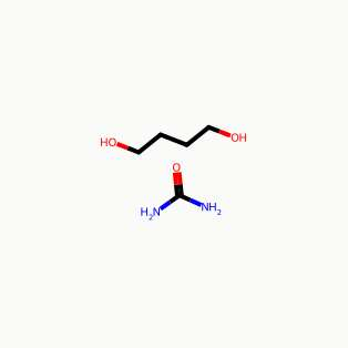 NC(N)=O.OCCCCO